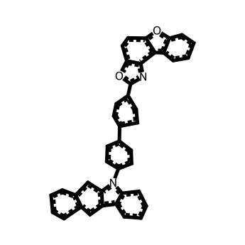 c1ccc2cc3c(cc2c1)c1ccccc1n3-c1ccc(-c2ccc(-c3nc4c(ccc5oc6ccccc6c54)o3)cc2)cc1